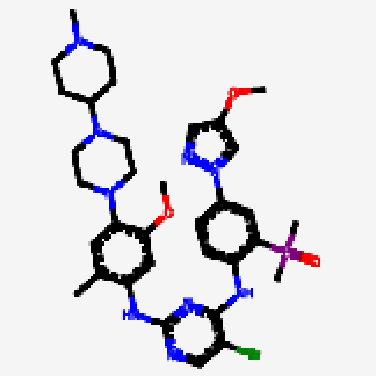 COc1cnn(-c2ccc(Nc3nc(Nc4cc(OC)c(N5CCN(C6CCN(C)CC6)CC5)cc4C)ncc3Br)c(P(C)(C)=O)c2)c1